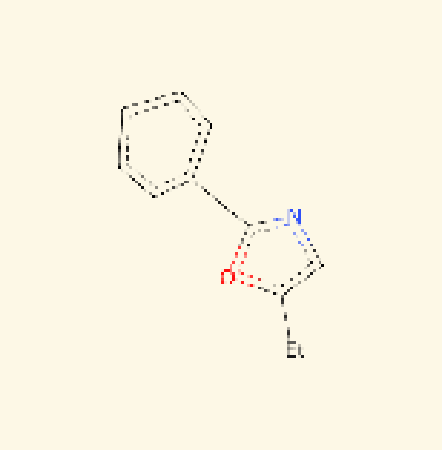 [CH2]Cc1cnc(-c2ccccc2)o1